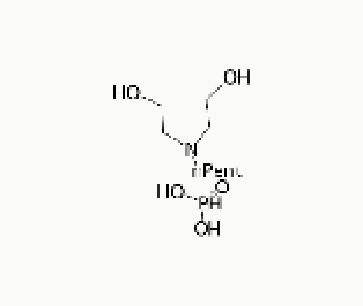 CCCCCN(CCO)CCO.O=[PH](O)O